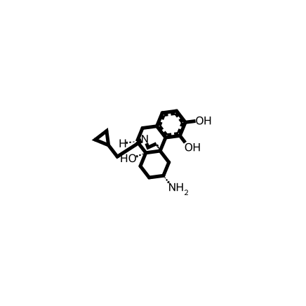 N[C@@H]1CC[C@@]2(O)[C@H]3Cc4ccc(O)c(O)c4[C@@]2(CCN3CC2CC2)C1